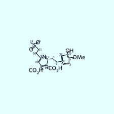 COc1ccc(CCc2nc(CCS(C)(=O)=O)cc(C(=O)O)c2C(=O)O)cc1O